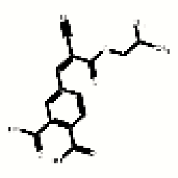 CC(C)COC(=O)C(C#N)=Cc1ccc(C(=O)O)c(C(=O)O)c1